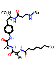 CC(C)[C@H](NC(=O)CCCCCC(C)(C)C)C(=O)N[C@@H](C)C(=O)Nc1ccc(C[C@H](NC(=O)CCNC(C)(C)C)C(=O)O)cc1